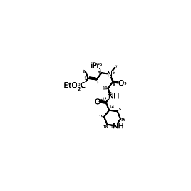 CCOC(=O)/C(C)=C/[C@H](C(C)C)N(C)C(=O)CNC(=O)C1CCNCC1